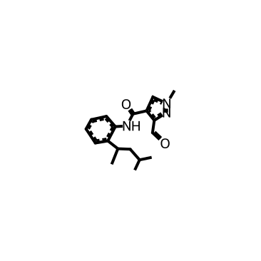 CC(C)CC(C)c1ccccc1NC(=O)c1cn(C)nc1C=O